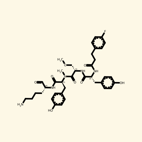 COC[C@H](NC(=O)[C@@H](Cc1ccc(O)cc1)NC(=O)CCc1ccc(F)cc1)C(=O)N(C)[C@@H](Cc1ccc(O)cc1)C(=O)N[C@@H]([C]=O)CCCCN